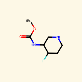 CC(C)(C)OC(=O)NC1CNCCC1F